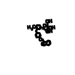 Cc1ccc([C@H]2C[C@@H](O)[C@H](O)[C@@H](CO)O2)cc1Cc1ccc(OCC2OCc3ccccc32)cc1